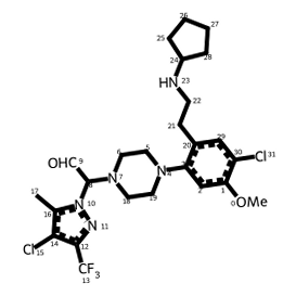 COc1cc(N2CCN(C(C=O)n3nc(C(F)(F)F)c(Cl)c3C)CC2)c(CCNC2CCCC2)cc1Cl